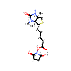 CCN1C(=O)N[C@H]2CS[C@@H](CCCCC(=O)ON3C(=O)CCC3=O)[C@H]21